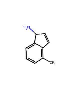 NC1C=Cc2c1cccc2C(F)(F)F